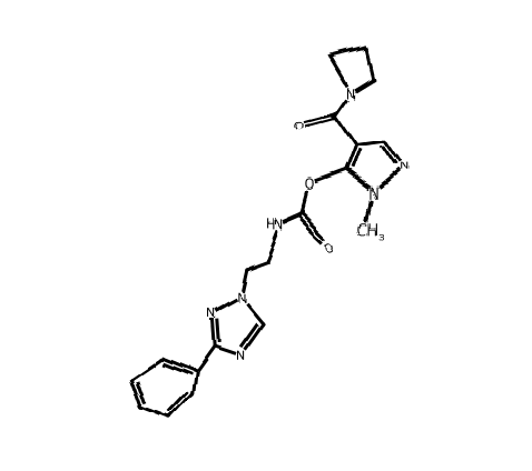 Cn1ncc(C(=O)N2CCC2)c1OC(=O)NCCn1cnc(-c2ccccc2)n1